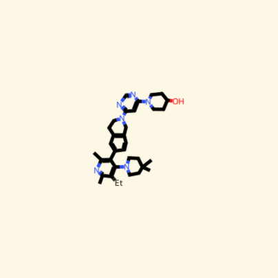 CCc1c(C)nc(C)c(-c2ccc3c(c2)CCN(c2cc(N4CCC(O)CC4)ncn2)C3)c1N1CCC(C)(C)CC1